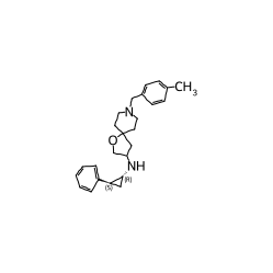 Cc1ccc(CN2CCC3(CC2)CC(N[C@@H]2C[C@H]2c2ccccc2)CO3)cc1